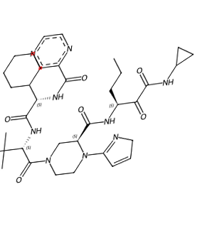 CCC[C@H](NC(=O)[C@@H]1CN(C(=O)[C@@H](NC(=O)[C@@H](NC(=O)c2cnccn2)C2CCCCC2)C(C)(C)C)CCN1C1=NCC=C1)C(=O)C(=O)NC1CC1